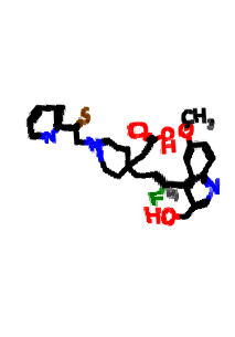 COc1ccc2ncc(CO)c([C@H](F)CCC3(CC(=O)O)CCN(CC(=S)c4ccccn4)CC3)c2c1